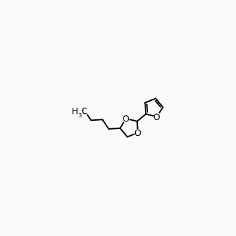 CCCCC1COC(c2ccco2)O1